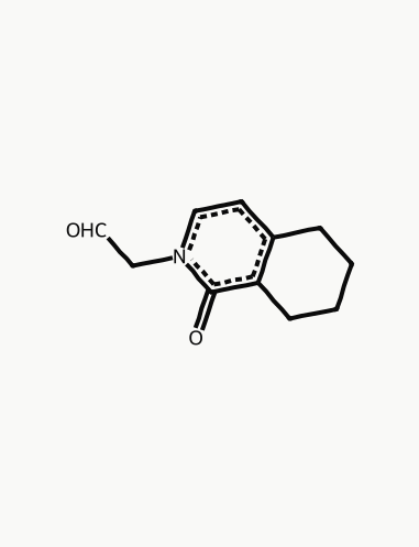 O=CCn1ccc2c(c1=O)CCCC2